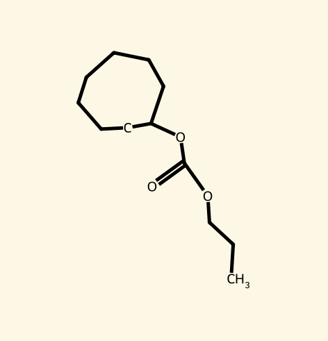 CCCOC(=O)OC1CCCCCCC1